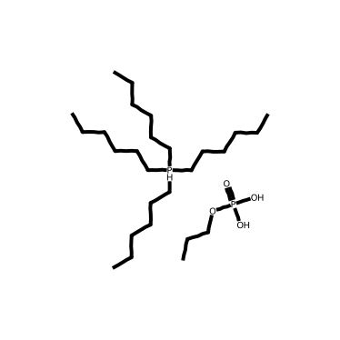 CCCCCC[PH](CCCCCC)(CCCCCC)CCCCCC.CCCOP(=O)(O)O